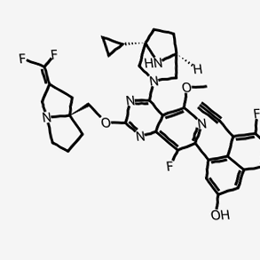 C#Cc1c(F)ccc2cc(O)cc(-c3nc(OC)c4c(N5C[C@@H]6CC[C@](C7CC7)(C5)N6)nc(OC[C@@]56CCCN5CC(=C(F)F)C6)nc4c3F)c12